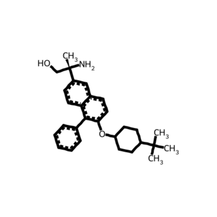 CC(C)(C)C1CCC(Oc2ccc3cc([C@@](C)(N)CO)ccc3c2-c2ccccc2)CC1